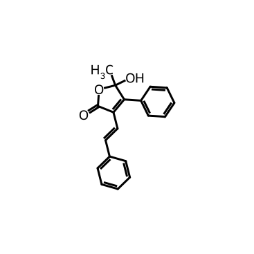 CC1(O)OC(=O)C(/C=C/c2ccccc2)=C1c1ccccc1